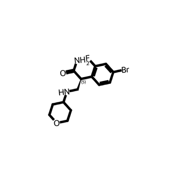 NC(=O)[C@H](CNC1CCOCC1)c1ccc(Br)cc1F